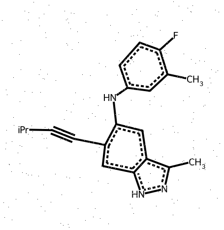 Cc1cc(Nc2cc3c(C)n[nH]c3cc2C#CC(C)C)ccc1F